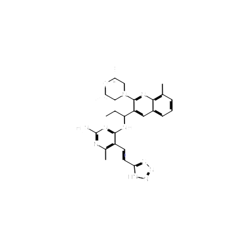 CCC(Nc1nc(N)nc(C)c1/C=C/c1nnn[nH]1)c1cc2cccc(C)c2nc1N1C[C@@H](C)O[C@@H](C)C1